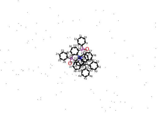 O=P(c1ccccc1)(c1ccccc1)c1cccc(P(=O)(c2ccccc2)c2ccccc2)c1N1c2ccccc2[Si](c2ccccc2)(c2ccccc2)c2ccccc21